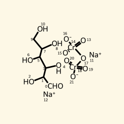 O=CC(O)C(O)C(O)C(O)CO.[Na+].[Na+].[O]=[Cr](=[O])([O-])[O][Cr](=[O])(=[O])[O-]